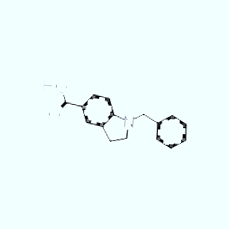 O=C(O)c1ccc2c(c1)CCN2Cc1ccccc1